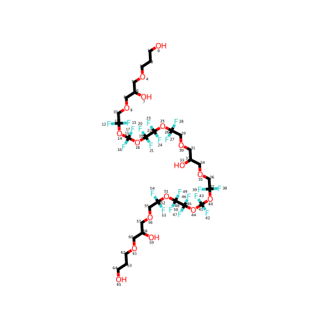 OCCCOCC(O)COCC(F)(F)OC(F)(F)OC(F)(F)C(F)(F)OC(F)(F)COCC(O)COCC(F)(F)OC(F)(F)OC(F)(F)C(F)(F)OC(F)(F)COCC(O)COCCCO